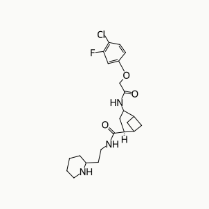 O=C(COc1ccc(Cl)c(F)c1)NC1C[C@H](C(=O)NCCC2CCCCN2)C2CC1C2